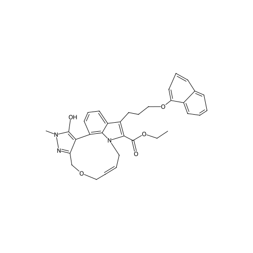 CCOC(=O)c1c(CCCOc2cccc3ccccc23)c2cccc3c2n1C/C=C\COCc1nn(C)c(O)c1-3